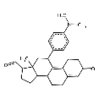 CN(C)c1ccc(C2CC3(C)C(C=O)CCC3C3CCC4=CC(=O)CCC4=C23)cc1